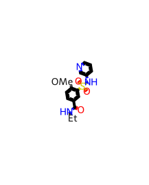 CCNC(=O)c1ccc(OC)c(S(=O)(=O)Nc2cccnc2)c1